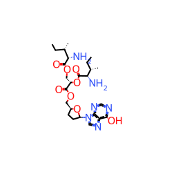 CC[C@H](C)[C@H](N)C(=O)OC[C@H](OC(=O)[C@@H](N)[C@@H](C)CC)C(=O)OC[C@@H]1CC[C@H](n2cnc3c(O)ncnc32)O1